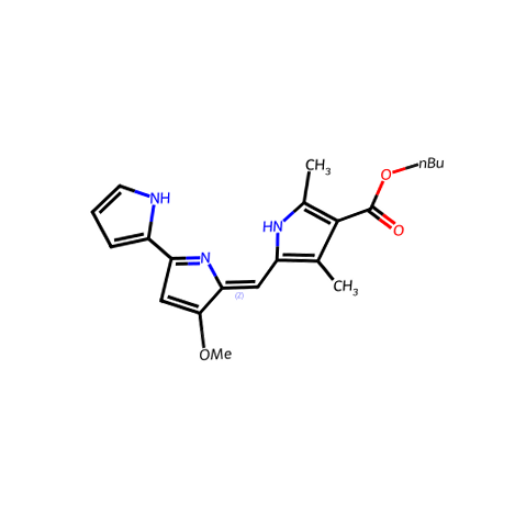 CCCCOC(=O)c1c(C)[nH]c(/C=C2\N=C(c3ccc[nH]3)C=C2OC)c1C